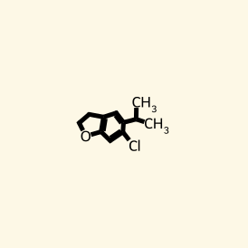 CC(C)c1cc2c(cc1Cl)OCC2